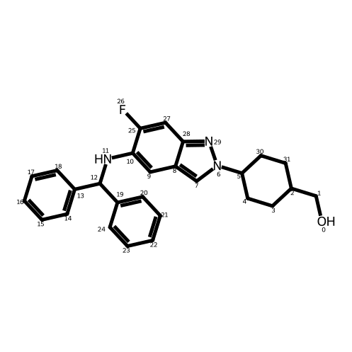 OCC1CCC(n2cc3cc(NC(c4ccccc4)c4ccccc4)c(F)cc3n2)CC1